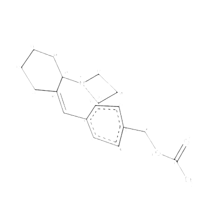 CCC(=O)OCc1ccc(/C=C2/CCCCC2N2CCC2)cc1